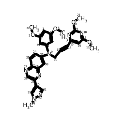 COc1cc(OC)cc(N(CC#Cc2cc(OC)nc(OC)n2)c2ccc3ncc(-c4cnn(C)c4)nc3c2)c1